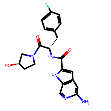 Nc1cc2cc(C(=O)N[C@@H](Cc3ccc(F)cc3)C(=O)N3CC[C@@H](O)C3)[nH]c2cn1